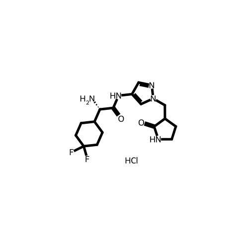 Cl.N[C@H](C(=O)Nc1cnn(CC2CCNC2=O)c1)C1CCC(F)(F)CC1